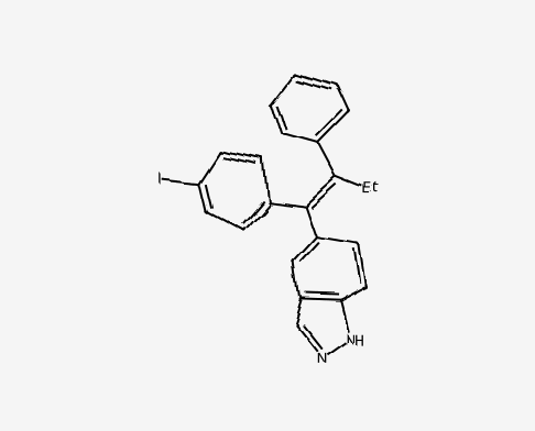 CC/C(=C(/c1ccc(I)cc1)c1ccc2[nH]ncc2c1)c1ccccc1